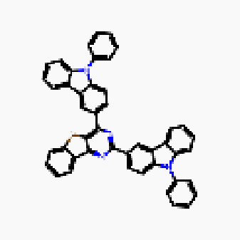 c1ccc(-n2c3ccccc3c3cc(-c4nc(-c5ccc6c(c5)c5ccccc5n6-c5ccccc5)c5sc6ccccc6c5n4)ccc32)cc1